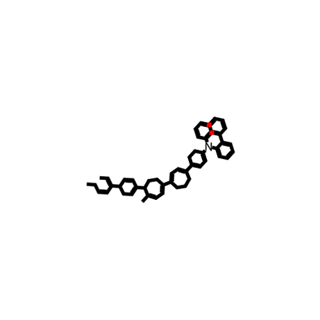 C/C=C(\C=C/CC)C1C=CC(C2CCC(C3=CC=C(C4=CC=C(N(c5ccccc5)c5ccccc5-c5ccccc5)CC4)CCC3)=CC=C2C)=CC1